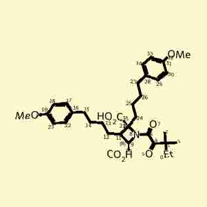 CCC(C)(C)C(=O)C(=O)N1[C@@H](C(=O)O)C(CCCCc2ccc(OC)cc2)[C@@]1(CCCCc1ccc(OC)cc1)C(=O)O